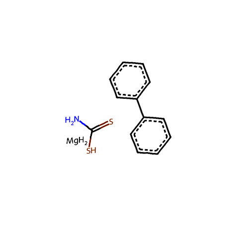 NC(=S)S.[MgH2].c1ccc(-c2ccccc2)cc1